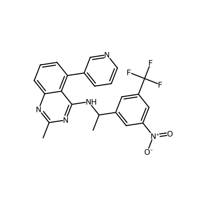 Cc1nc(NC(C)c2cc([N+](=O)[O-])cc(C(F)(F)F)c2)c2c(-c3cccnc3)cccc2n1